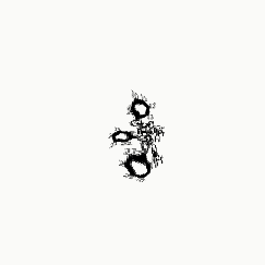 CC(C)OP(N[PH](N=[PH](Oc1ccccc1)OC(C)C)(Oc1ccccc1)OC(C)C)Oc1ccccc1